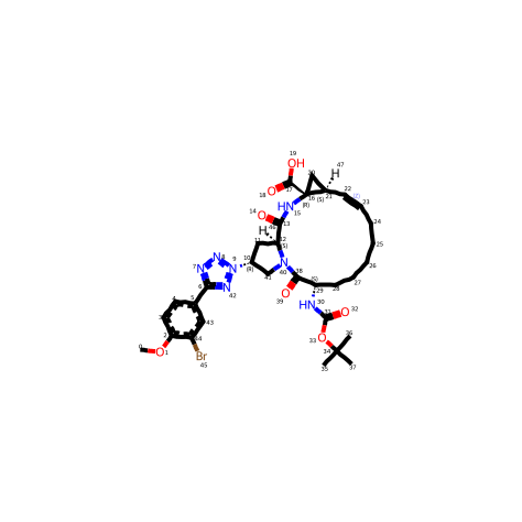 COc1ccc(-c2nnn([C@@H]3C[C@H]4C(=O)N[C@]5(C(=O)O)C[C@H]5/C=C\CCCCC[C@H](NC(=O)OC(C)(C)C)C(=O)N4C3)n2)cc1Br